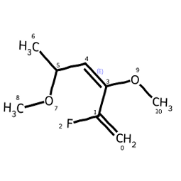 C=C(F)/C(=C\C(C)OC)OC